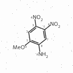 COc1cc([N+](=O)[O-])c([N+](=O)[O-])cc1N